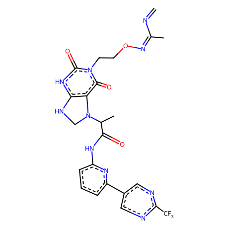 C=N/C(C)=N\OCCn1c(=O)[nH]c2c(c1=O)N(C(C)C(=O)Nc1cccc(-c3cnc(C(F)(F)F)nc3)n1)CN2